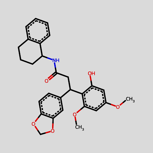 COc1cc(O)c(C(CC(=O)NC2CCCc3ccccc32)c2ccc3c(c2)OCO3)c(OC)c1